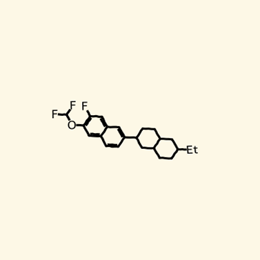 CCC1CCC2CC(c3ccc4cc(OC(F)F)c(F)cc4c3)CCC2C1